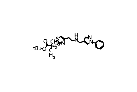 CC(C)(C)OC(=O)C(C)(C)Sc1nc(CCNCc2cnn(-c3ccccc3)c2)cs1